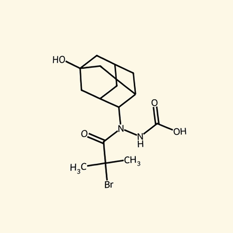 CC(C)(Br)C(=O)N(NC(=O)O)C1C2CC3CC1CC(O)(C3)C2